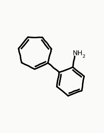 Nc1ccccc1C1=CCC=CC=C1